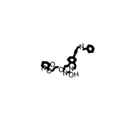 CN(CC#Cc1ccc2c(c1)CCN1C2=CC(OCC2COc3ncccc3O2)=NC1O)Cc1ccccc1